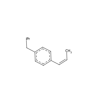 C/C=C\c1ccc(CC(C)C)cc1